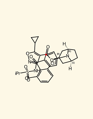 CC(C)S(=O)(=O)NC(=O)c1ccc(N2[C@@H]3CC[C@H]2C[C@@H](OC(=O)c2c(-c4c(Cl)cccc4Cl)noc2C2CC2)C3)cc1